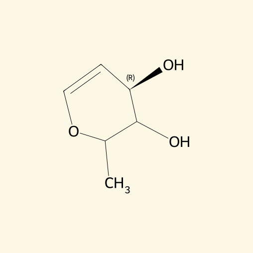 CC1OC=C[C@@H](O)C1O